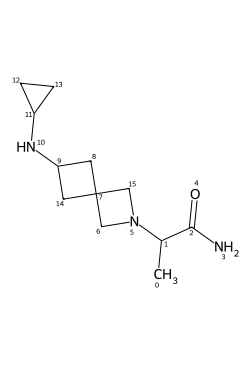 CC(C(N)=O)N1CC2(CC(NC3CC3)C2)C1